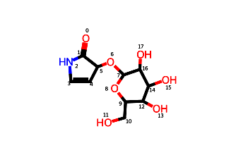 O=C1NC=CC1OC1OC(CO)C(O)C(O)C1O